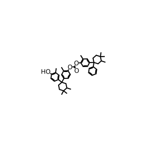 Cc1cc(C2(c3ccc(OC(=O)Oc4ccc(C5(c6ccccc6)CCC(C)(C)C(C)C5)cc4C)c(C)c3)CCC(C)(C)C(C)C2)ccc1O